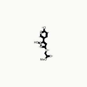 COC(=O)COc1cc(-c2ccc(Cl)nc2)n(O)n1